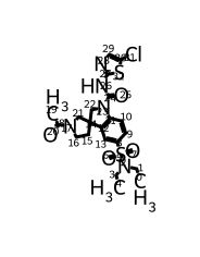 CCN(CC)S(=O)(=O)c1ccc2c(c1)C1(CCN(C(C)=O)C1)CN2C(=O)Nc1ncc(Cl)s1